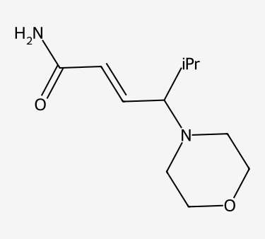 CC(C)C(C=CC(N)=O)N1CCOCC1